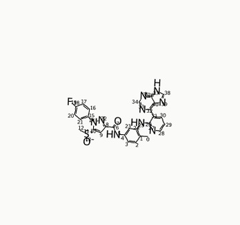 Cc1ccc(NC(=O)c2cc([S+](C)[O-])n(-c3ccc(F)cc3)n2)cc1Nc1ncccc1-c1ncnc2[nH]cnc12